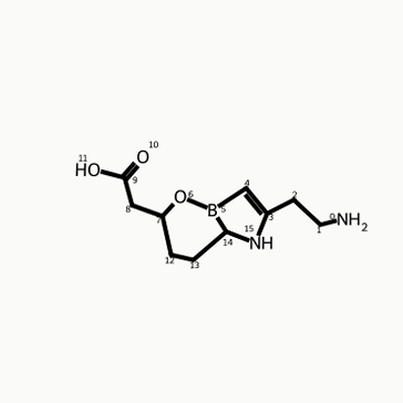 NCCC1=CB2OC(CC(=O)O)CCC2N1